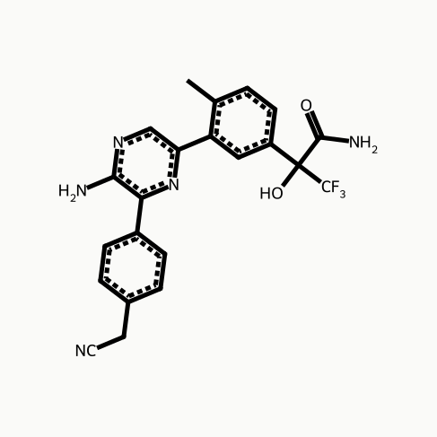 Cc1ccc(C(O)(C(N)=O)C(F)(F)F)cc1-c1cnc(N)c(-c2ccc(CC#N)cc2)n1